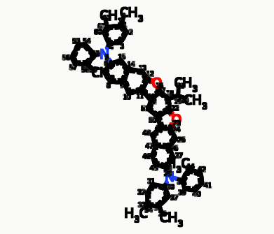 Cc1ccc(N(c2ccc3cc4c(cc3c2)oc2c(C(C)C)c3oc5cc6cc(N(c7ccc(C)c(C)c7)c7ccccc7C)ccc6cc5c3cc24)c2ccccc2C)cc1C